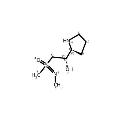 CN=S(C)(=O)C[C@@H](O)[C@@H]1CCCN1